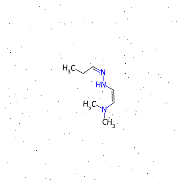 CC/C=N\N/C=C\N(C)C